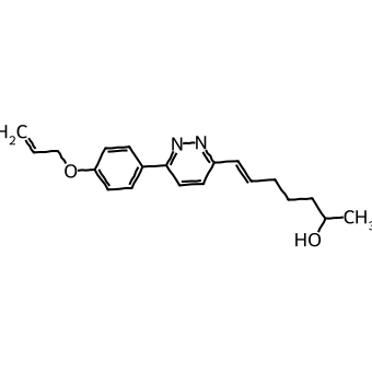 C=CCOc1ccc(-c2ccc(C=CCCCC(C)O)nn2)cc1